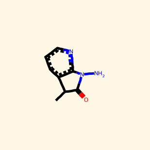 CC1C(=O)N(N)c2ncccc21